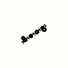 CN(C)c1ccc(N=Nc2ccc(N=Nc3ccc(N=Nc4ccc(N(C)C)c5ccccc45)cc3)cc2)c2ccccc12